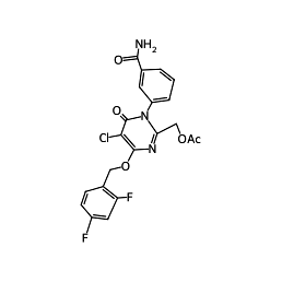 CC(=O)OCc1nc(OCc2ccc(F)cc2F)c(Cl)c(=O)n1-c1cccc(C(N)=O)c1